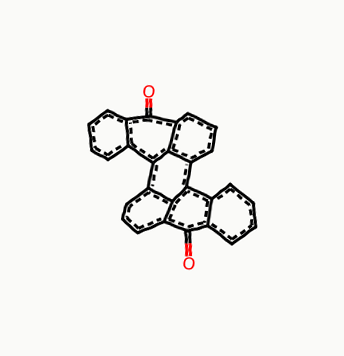 O=c1c2ccccc2c2c3cccc4c(=O)c5ccccc5c(c5cccc1c52)c43